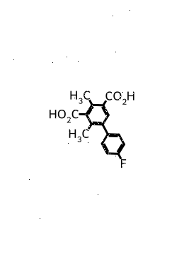 Cc1c(C(=O)O)cc(-c2ccc(F)cc2)c(C)c1C(=O)O